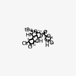 CC(C)(C)[S+]([O-])N[C@@H](c1cc(Cl)c(Cl)cc1O)C1CCN(C(=O)C2CNC(=O)CO2)CC1